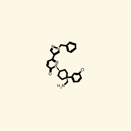 NC[C@]1(c2cccc(Cl)c2)CC[C@H](n2nc(-c3cnn(Cc4ccccc4)c3)ccc2=O)CC1